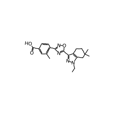 CCn1nc(-c2nc(-c3ccc(C(=O)O)cc3C)no2)c2c1CC(C)(C)CC2